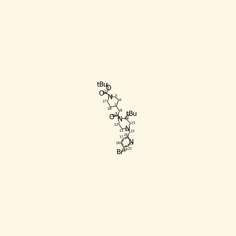 CC(C)(C)OC(=O)N1CCC(CC(=O)N2CCN(Cc3ccc(Br)cn3)C[C@@H]2C(C)(C)C)CC1